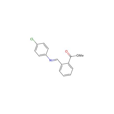 COC(=O)c1ccccc1C=Nc1ccc(Cl)cc1